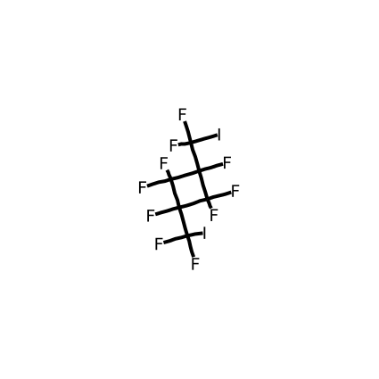 FC(F)(I)C1(F)C(F)(F)C(F)(C(F)(F)I)C1(F)F